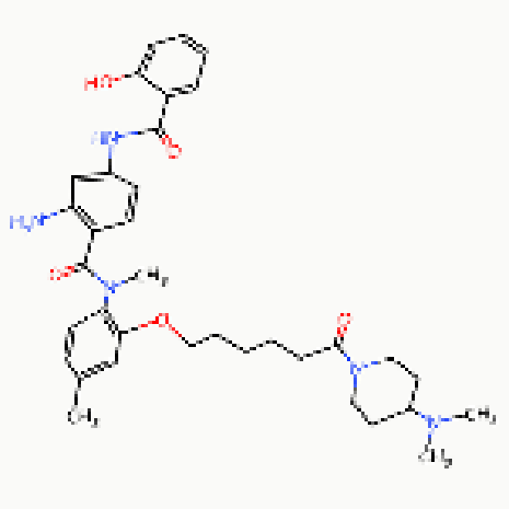 Cc1ccc(N(C)C(=O)c2ccc(NC(=O)c3ccccc3O)cc2N)c(OCCCCCC(=O)N2CCC(N(C)C)CC2)c1